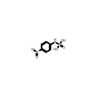 O=[N+]([O-])c1ccc(NP(=O)(O)O)cc1